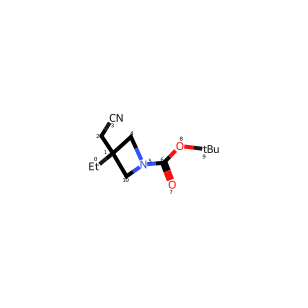 CCC1(CC#N)CN(C(=O)OC(C)(C)C)C1